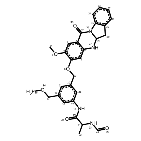 COc1cc2c(cc1OCc1cc(COP)cc(NC(=O)C(C)NC=O)c1)NC1Cc3ccccc3N1C2=O